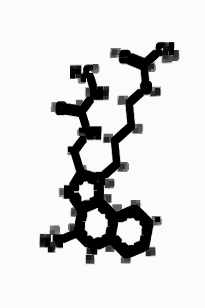 CNC(=O)NCc1nc2c(N)nc3ccccc3c2n1CCCCOC(C)=O